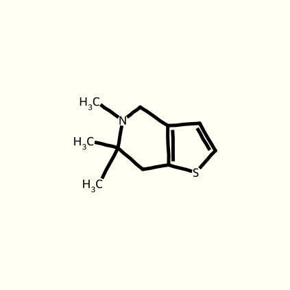 CN1Cc2ccsc2CC1(C)C